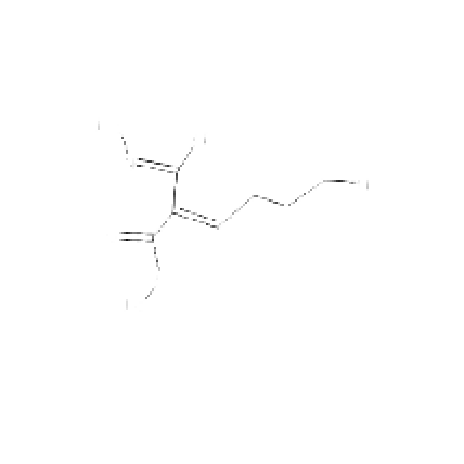 CCCC/C=C(C(=O)OC)\C(C)=N\C